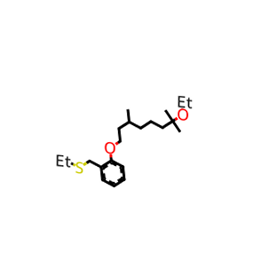 CCOC(C)(C)CCCC(C)CCOc1ccccc1CSCC